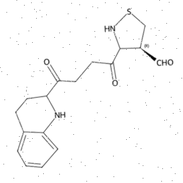 O=C[C@@H]1CSNC1C(=O)CCC(=O)C1CCc2ccccc2N1